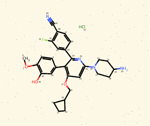 COc1ccc(-c2c(OCC3CCC3)cc(N3CCC(N)CC3)nc2-c2ccc(C#N)c(F)c2)cc1O.Cl